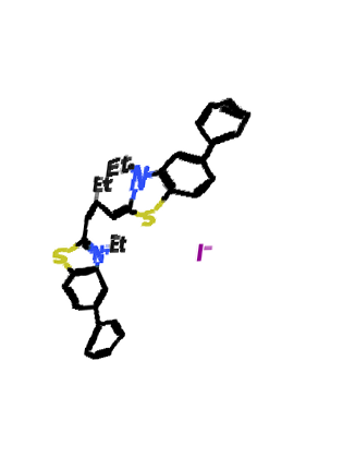 CCC(=Cc1sc2ccc(-c3ccccc3)cc2[n+]1CC)C=C1Sc2ccc(-c3ccccc3)cc2N1CC.[I-]